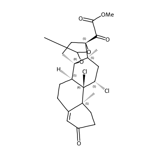 COC(=O)C(=O)[C@@]12CC[C@@]3(OC(C)O1)[C@@H]1CCC4=CC(=O)CC[C@]4(C)[C@@]1(Cl)[C@@H](Cl)C[C@]23C